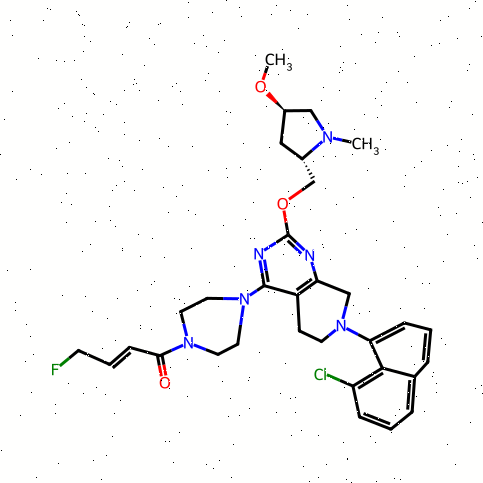 CO[C@@H]1C[C@@H](COc2nc3c(c(N4CCN(C(=O)/C=C/CF)CC4)n2)CCN(c2cccc4cccc(Cl)c24)C3)N(C)C1